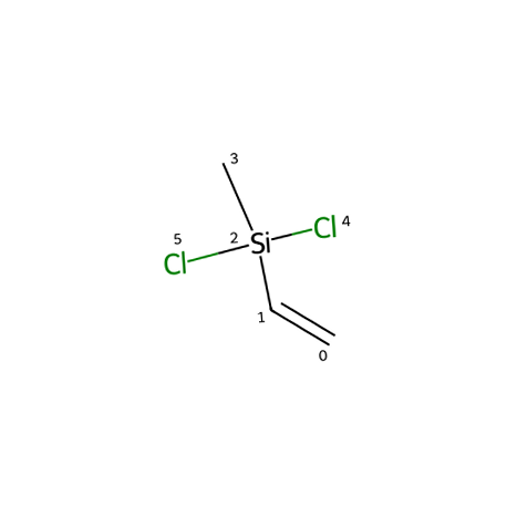 C=C[Si](C)(Cl)Cl